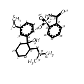 COc1cccc(C2(O)CCCCC2CN(C)C)c1.O=C1NS(=O)(=O)c2ccccc21